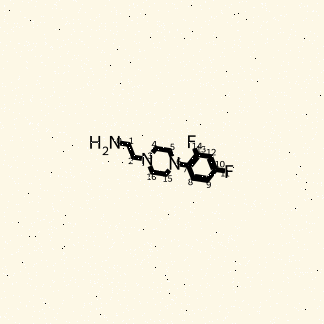 NCCN1CCN(c2ccc(F)cc2F)CC1